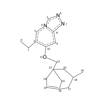 CCc1cn2cnnc2cc1OCC12CC=C(CC(C)C1)C2